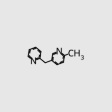 Cc1ccc(Cc2ccccn2)cn1